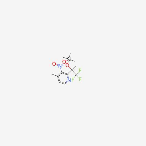 Cc1ccnc(C(C)(O[Si](C)(C)C)C(F)(F)F)c1[N+](=O)[O-]